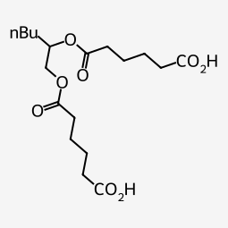 CCCCC(COC(=O)CCCCC(=O)O)OC(=O)CCCCC(=O)O